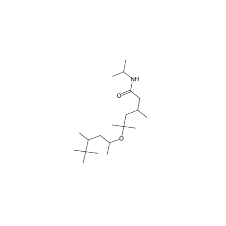 CC(CC(=O)NC(C)C)CC(C)(C)OC(C)CC(C)C(C)(C)C